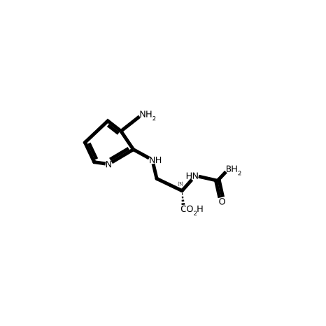 BC(=O)N[C@@H](CNc1ncccc1N)C(=O)O